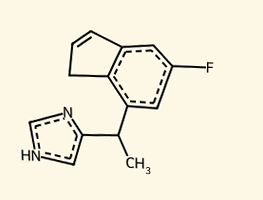 CC(c1c[nH]cn1)c1cc(F)cc2c1CC=C2